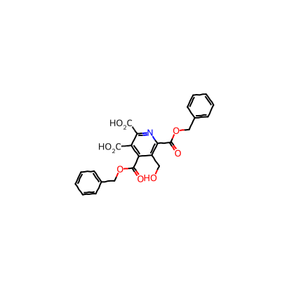 O=C(OCc1ccccc1)c1nc(C(=O)O)c(C(=O)O)c(C(=O)OCc2ccccc2)c1CO